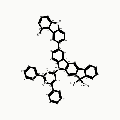 CC1(C)c2ccccc2-c2cc3c4cc(-c5ccc6oc7cccc(Br)c7c6c5)ccc4n(-c4nc(-c5ccccc5)nc(-c5ccccc5)n4)c3cc21